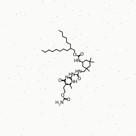 CCCCCCCCC(CCCCCC)COC(=O)NC1CC(C)(C)CC(C)(CNC(=O)Nc2nc(=O)c(CCOC(N)=O)c(C)[nH]2)C1